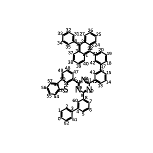 c1ccc(-c2cccc(-c3nc(-c4cccc(-c5cccc(-c6c7ccccc7c(-c7ccccc7)c7ccccc67)c5)c4)nc(-c4cccc5c4sc4ccccc45)n3)c2)cc1